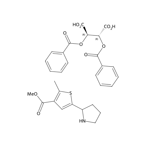 COC(=O)c1cc(C2CCCN2)sc1C.O=C(O[C@@H](C(=O)O)[C@@H](OC(=O)c1ccccc1)C(=O)O)c1ccccc1